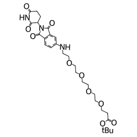 CC(C)(C)OC(=O)CCOCCOCCOCCOCCNc1ccc2c(c1)C(=O)N(C1CCC(=O)NC1=O)C2=O